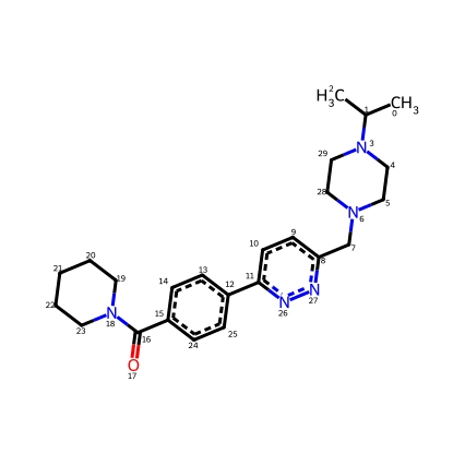 CC(C)N1CCN(Cc2ccc(-c3ccc(C(=O)N4CCCCC4)cc3)nn2)CC1